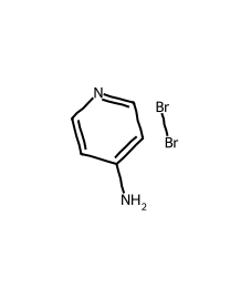 BrBr.Nc1ccncc1